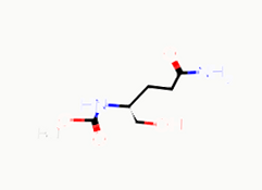 CC(C)(C)OC(=O)N[C@H](CO)CCC(N)=O